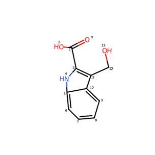 O=C(O)c1[nH]c2ccccc2c1CO